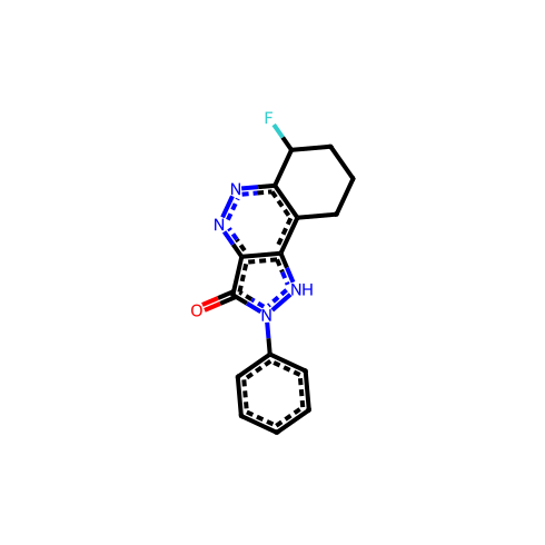 O=c1c2nnc3c(c2[nH]n1-c1ccccc1)CCCC3F